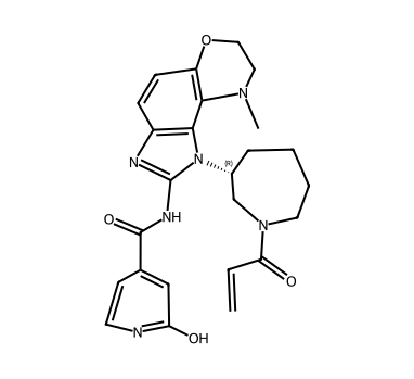 C=CC(=O)N1CCCC[C@@H](n2c(NC(=O)c3ccnc(O)c3)nc3ccc4c(c32)N(C)CCO4)C1